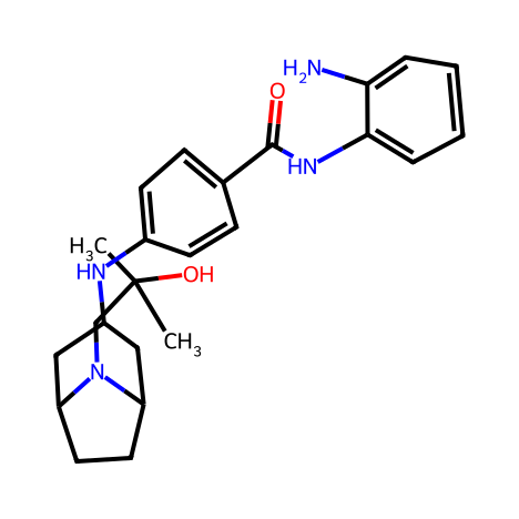 CC(C)(O)CN1C2CCC1CC(Nc1ccc(C(=O)Nc3ccccc3N)cc1)C2